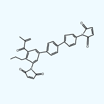 C=C(C)C(=O)c1cc(-c2ccc(-c3ccc(N4C(=O)C=CC4=O)cc3)cc2)cc(N2C(=O)C=CC2=O)c1CCC